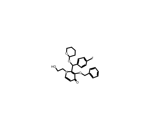 O=c1ccn(CCO)c(C(OC2CCCCO2)c2ccc(F)cc2)c1OCc1ccccc1